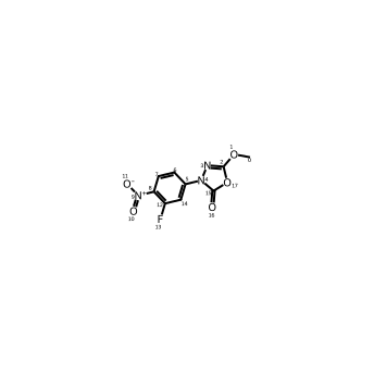 COc1nn(-c2ccc([N+](=O)[O-])c(F)c2)c(=O)o1